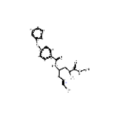 CC(CC(C/C=C/O)NC(=O)c1ccc(Oc2ccccc2)cc1)C(=O)NO